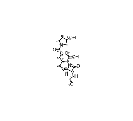 O=CNC1C(=O)N2C(C(=O)O)=C(COC(=O)N3CCC(O)C3)CS[C@H]12